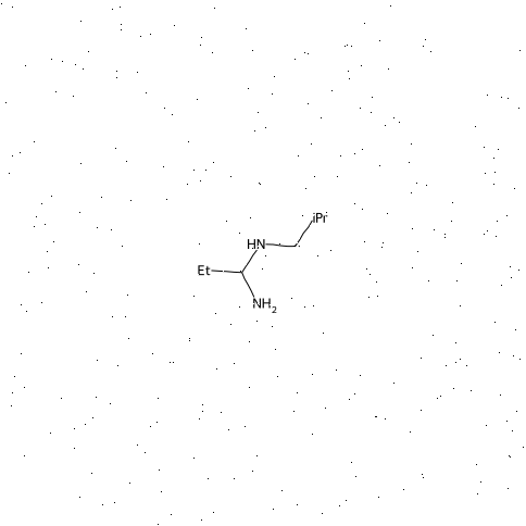 CCC(N)N[CH]C(C)C